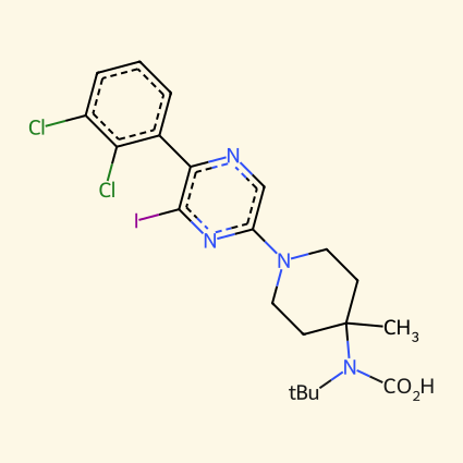 CC(C)(C)N(C(=O)O)C1(C)CCN(c2cnc(-c3cccc(Cl)c3Cl)c(I)n2)CC1